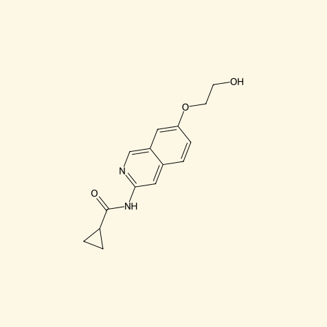 O=C(Nc1cc2ccc(OCCO)cc2cn1)C1CC1